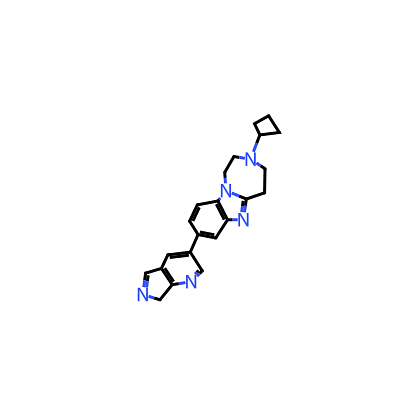 C1=NCc2ncc(-c3ccc4c(c3)nc3n4CCN(C4CCC4)CC3)cc21